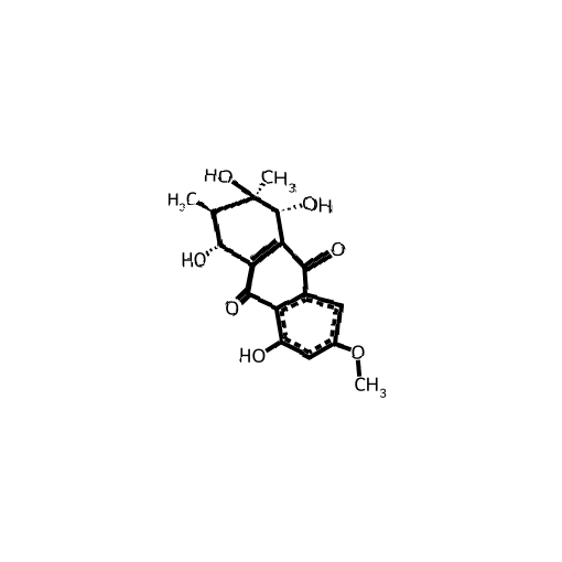 COc1cc(O)c2c(c1)C(=O)C1=C(C2=O)[C@H](O)[C@@H](C)[C@@](C)(O)[C@@H]1O